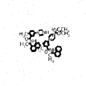 Cc1ccc(N2CCN(C(=O)OC(C)(C)C)CC2)cc1C(=O)N[C@H](C)c1cccc2ccccc12.Cc1ccc(N2CCNCC2)cc1C(=O)N[C@H](C)c1cccc2ccccc12